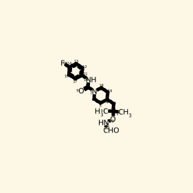 CC(C)(CC1CCN(C(=O)Nc2ccc(F)cc2)CC1)ONC=O